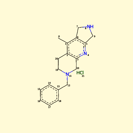 Cc1c2c(nc3c1CNC3)CN(Cc1ccccc1)CC2.Cl